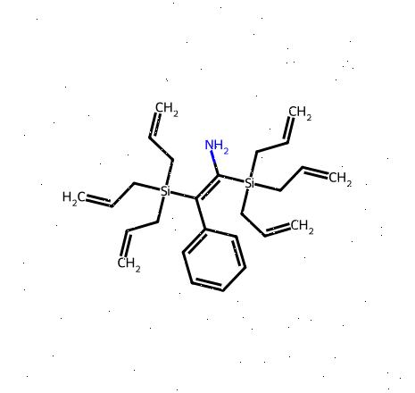 C=CC[Si](CC=C)(CC=C)C(N)=C(c1ccccc1)[Si](CC=C)(CC=C)CC=C